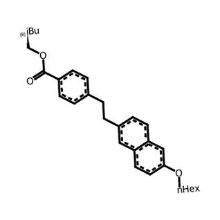 CCCCCCOc1ccc2cc(CCc3ccc(C(=O)OC[C@H](C)CC)cc3)ccc2c1